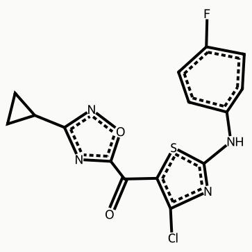 O=C(c1nc(C2CC2)no1)c1sc(Nc2ccc(F)cc2)nc1Cl